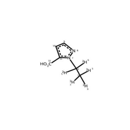 [2H]C([2H])([2H])C([2H])([2H])n1nccc1C(=O)O